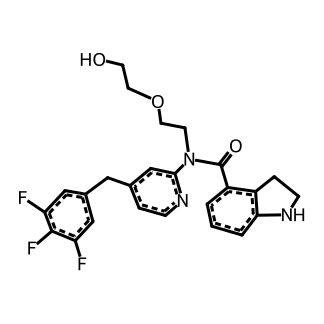 O=C(c1cccc2c1CCN2)N(CCOCCO)c1cc(Cc2cc(F)c(F)c(F)c2)ccn1